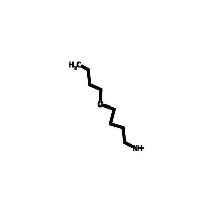 CCCCOCCCC[NH]